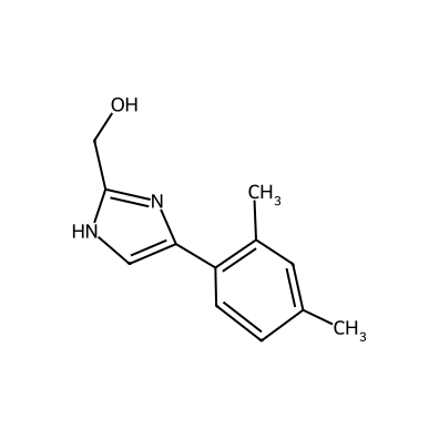 Cc1ccc(-c2c[nH]c(CO)n2)c(C)c1